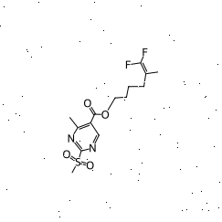 CC(CCCCOC(=O)c1cnc(S(C)(=O)=O)nc1C)=C(F)F